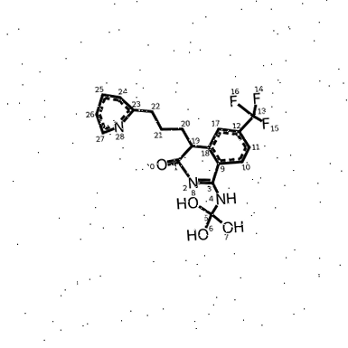 O=C1N=C(NC(O)(O)O)c2ccc(C(F)(F)F)cc2C1CCCc1ccccn1